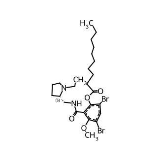 CCCCCCCCCC(=O)Oc1c(Br)cc(Br)c(OC)c1C(=O)NC[C@@H]1CCCN1CC